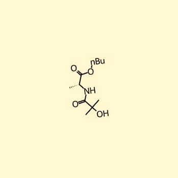 CCCCOC(=O)[C@@H](C)NC(=O)C(C)(C)O